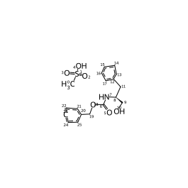 CS(=O)(=O)O.O=C(N[C@H](CO)Cc1ccccc1)OCc1ccccc1